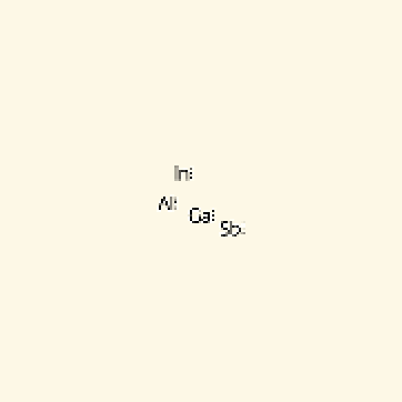 [Al].[Ga].[In].[Sb]